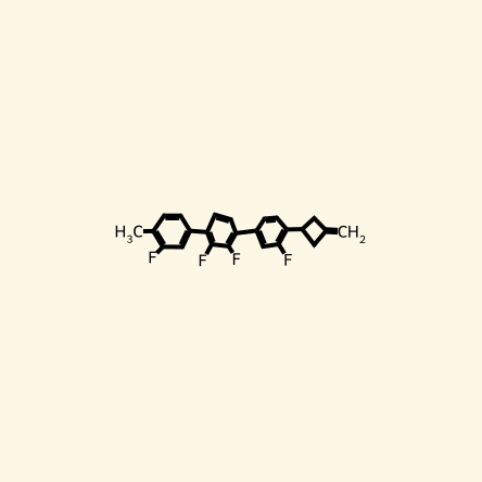 C=C1CC(c2ccc(-c3ccc(-c4ccc(C)c(F)c4)c(F)c3F)cc2F)C1